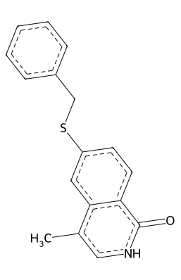 Cc1c[nH]c(=O)c2ccc(SCc3ccccc3)cc12